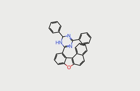 c1ccc(C2=NC(c3ccccc3)NC(c3cccc4oc5ccc6ccccc6c5c34)=N2)cc1